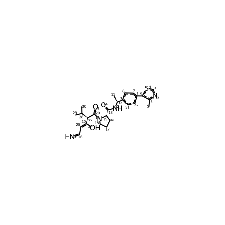 Cc1ncsc1-c1ccc([C@H](C)NC(=O)[C@@H]2CCCN2C(=O)[C@@H](/C(O)=C/C=N)C(C)C)cc1